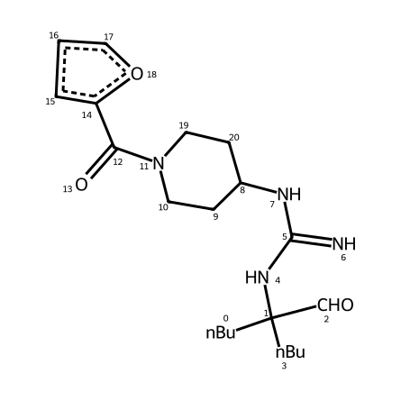 CCCCC(C=O)(CCCC)NC(=N)NC1CCN(C(=O)c2ccco2)CC1